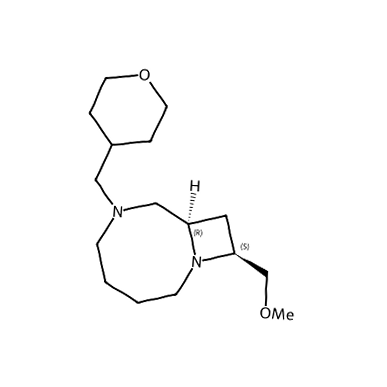 COC[C@@H]1C[C@@H]2CN(CC3CCOCC3)CCCCN12